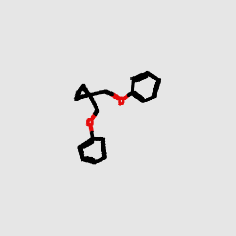 [c]1ccccc1OCC1(COc2ccccc2)CC1